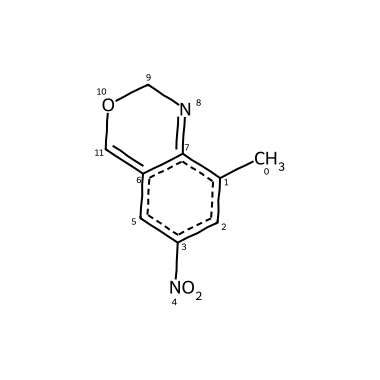 Cc1cc([N+](=O)[O-])cc2c1=NCOC=2